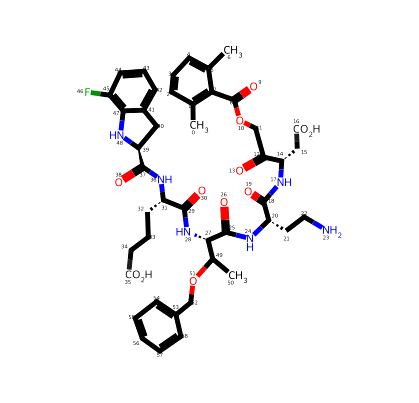 Cc1cccc(C)c1C(=O)OCC(=O)[C@H](CC(=O)O)NC(=O)[C@H](CCN)NC(=O)[C@@H](NC(=O)[C@H](CCCC(=O)O)NC(=O)[C@@H]1Cc2cccc(F)c2N1)C(C)OCc1ccccc1